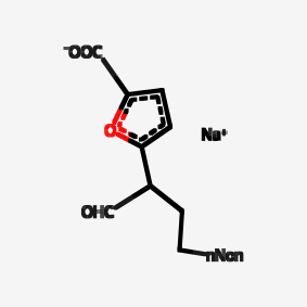 CCCCCCCCCCCC(C=O)c1ccc(C(=O)[O-])o1.[Na+]